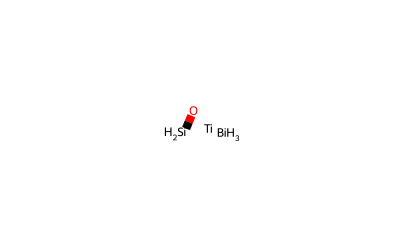 O=[SiH2].[BiH3].[Ti]